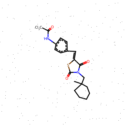 CC1(CN2C(=O)SC(=Cc3ccc(NC(=O)C(Cl)(Cl)Cl)cc3)C2=O)CCCCC1